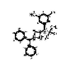 CC(C)(F)[C@@H](c1cc(F)cc(C#N)c1)C1CN(C(c2ccccc2)c2ccccc2)C1